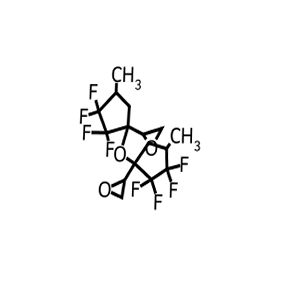 CC1CC(OC2(C3CO3)CC(C)C(F)(F)C2(F)F)(C2CO2)C(F)(F)C1(F)F